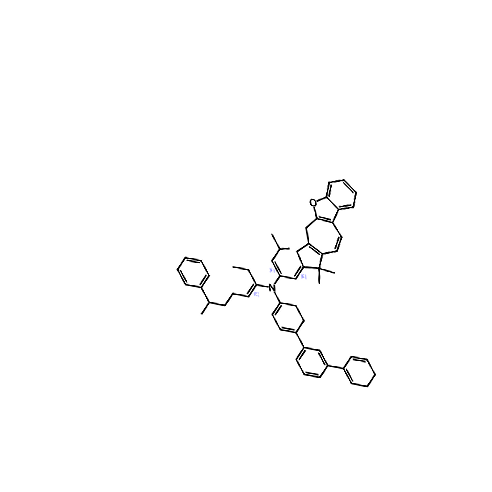 CC/C(=C\CCC(C)c1ccccc1)N(C1=CC=C(c2cccc(C3=CCCC=C3)c2)CC1)C(=C/C(C)C)/C=C1\CC2=C(C=Cc3c(oc4ccccc34)C2)C1(C)C